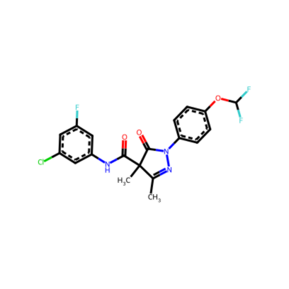 CC1=NN(c2ccc(OC(F)F)cc2)C(=O)C1(C)C(=O)Nc1cc(F)cc(Cl)c1